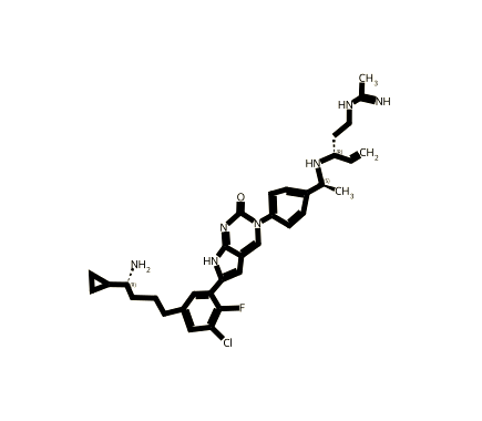 C=C[C@@H](CCNC(C)=N)N[C@@H](C)c1ccc(-n2cc3cc(-c4cc(CCC[C@@H](N)C5CC5)cc(Cl)c4F)[nH]c3nc2=O)cc1